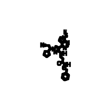 N#CCC(C1CCCC1)n1cc(-c2ncnc3c2ccn3SF)c(NCCC(=O)NOCc2ccccc2)n1